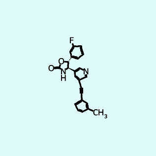 Cc1cccc(C#Cc2cncc([C@H]3NC(=O)O[C@@H]3c3cccc(F)c3)c2)c1